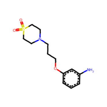 Nc1cccc(OCCCN2CCS(=O)(=O)CC2)c1